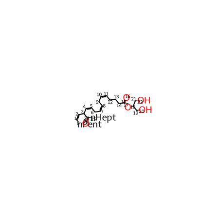 CCCCC/C=C\C(/C=C\C/C=C\C/C=C\CCCC(=O)OC(CO)CO)C(=O)CCCCCCC